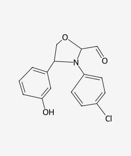 O=CC1OCC(c2cccc(O)c2)N1c1ccc(Cl)cc1